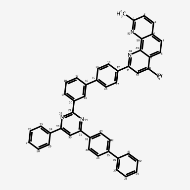 Cc1ccc2ccc3c(C(C)C)cc(-c4ccc(-c5cccc(-c6nc(-c7ccccc7)cc(-c7ccc(-c8ccccc8)cc7)n6)c5)cc4)nc3c2n1